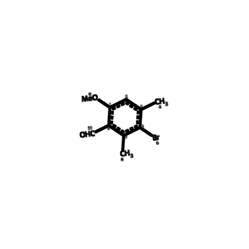 COc1cc(C)c(Br)c(C)c1C=O